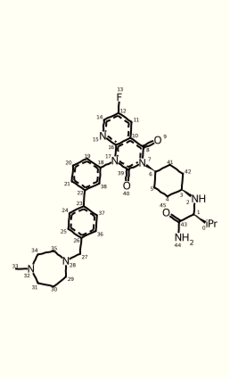 CC(C)[C@H](N[C@H]1CC[C@@H](n2c(=O)c3cc(F)cnc3n(-c3cccc(-c4ccc(CN5CCCN(C)CC5)cc4)c3)c2=O)CC1)C(N)=O